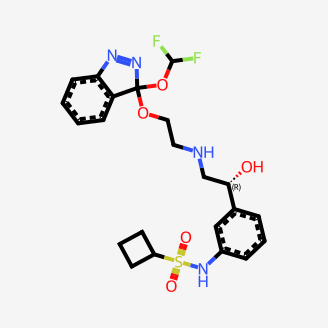 O=S(=O)(Nc1cccc([C@@H](O)CNCCOC2(OC(F)F)N=Nc3ccccc32)c1)C1CCC1